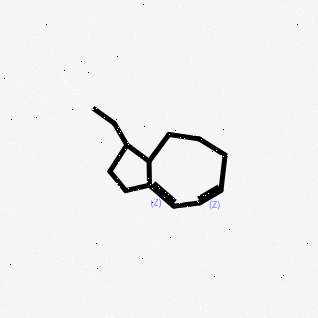 CCC1CC/C2=C/C=C\CCCC21